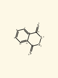 S=c1ssc(=S)c2ccccc12